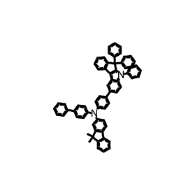 CC1(C)c2ccccc2-c2ccc(N(c3ccc(-c4ccccc4)cc3)c3ccc(-c4ccc5c(c4)c4c(n5-c5ccccc5)C(c5ccccc5)(c5ccccc5)c5ccccc5-4)cc3)cc21